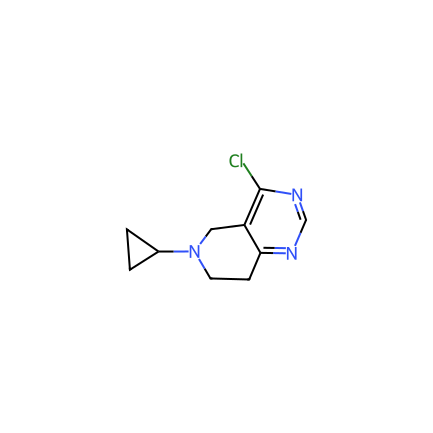 Clc1ncnc2c1CN(C1CC1)CC2